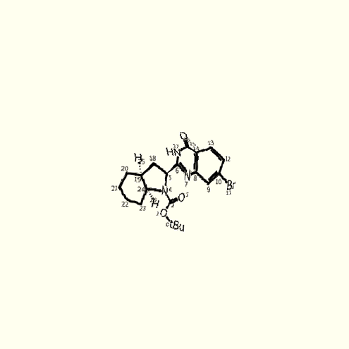 CC(C)(C)OC(=O)N1[C@H](c2nc3cc(Br)ccc3c(=O)[nH]2)C[C@@H]2CCCC[C@@H]21